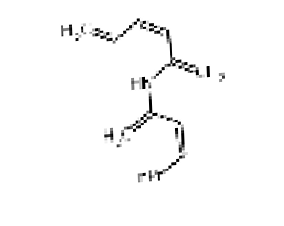 C=C/C=C\C(=C)NC(=C)/C=C\CCC